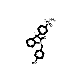 COc1ccc(CN2C(=O)C(F)(c3ccc(S(N)(=O)=O)cc3)c3ccccc32)cc1